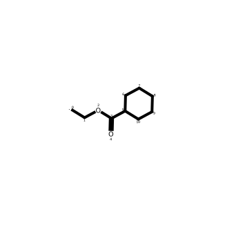 [CH2]COC(=O)C1CCCCC1